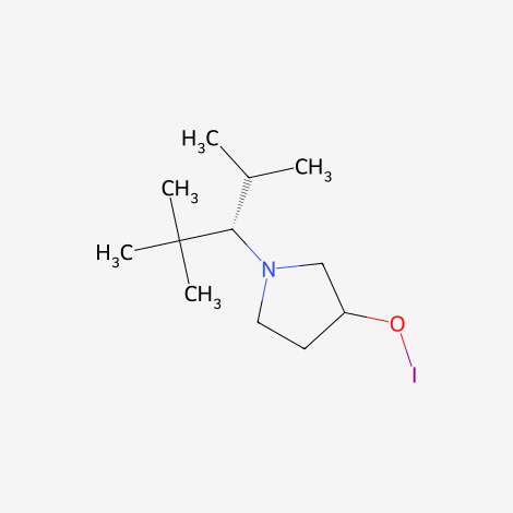 CC(C)[C@H](N1CCC(OI)C1)C(C)(C)C